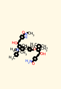 CCNC(=O)c1ccc(C#CC(O)c2cc(N(C)Cc3ccc(C)cc3)c3c(c2)C(C)(C)CCC3(C)C)cc1.Cc1ccc(COc2cc(C(O)C#Cc3ccc(C(N)=O)cc3)cc3c2C(C)(C)CCC3(C)C)cc1